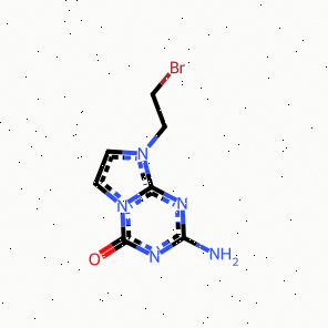 Nc1nc(=O)n2ccn(CCBr)c2n1